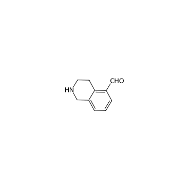 O=Cc1cccc2c1CCNC2